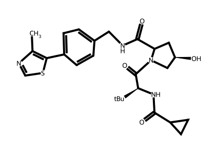 Cc1ncsc1-c1ccc(CNC(=O)C2C[C@@H](O)CN2C(=O)[C@@H](NC(=O)C2CC2)C(C)(C)C)cc1